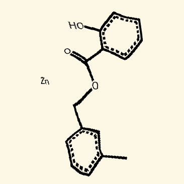 Cc1cccc(COC(=O)c2ccccc2O)c1.[Zn]